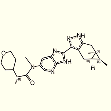 C[C@@H](C(=O)N(C)c1cnc2[nH]c(-c3n[nH]c4c3C[C@@H]3[C@H](C)[C@]3(C)C4)nc2c1)C1CCOCC1